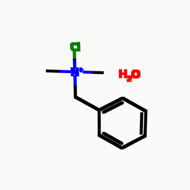 C[N+](C)(Cl)Cc1ccccc1.O